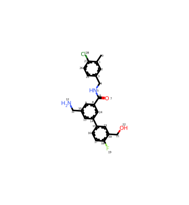 Cc1cc(CNC(=O)c2cc(CN)cc(-c3ccc(F)c(CO)c3)c2)ccc1Cl